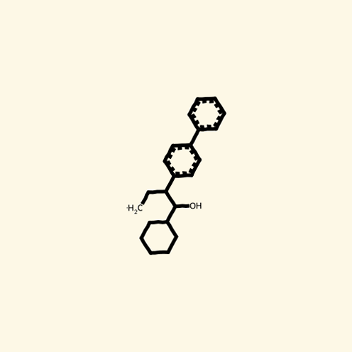 [CH2]CC(c1ccc(-c2ccccc2)cc1)C(O)C1CCCCC1